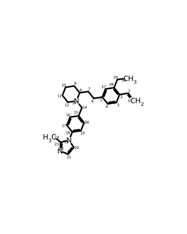 C=Cc1ccc(CCC2CCCCN2Cc2ccc(-n3ccnc3C)cc2)cc1CC